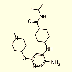 CC(C)NC(=O)[C@H]1CC[C@@H](Nc2cc(OC3CCN(C)CC3)ncc2N)CC1